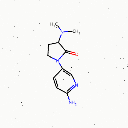 CN(C)C1CCN(c2ccc(N)nc2)C1=O